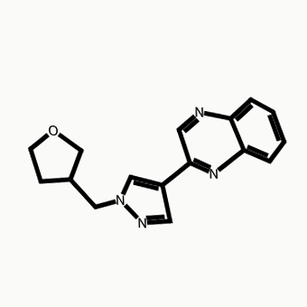 c1ccc2nc(-c3cnn(CC4CCOC4)c3)cnc2c1